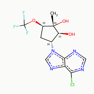 C[C@]1(O)[C@H](OC(F)(F)F)C[C@@H](n2cnc3c(Cl)ncnc32)[C@@H]1O